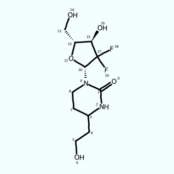 O=C1NC(CCO)CCN1[C@@H]1O[C@H](CO)[C@@H](O)C1(F)F